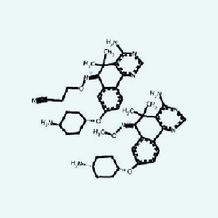 CC1(C)/C(=N/OCCC#N)c2cc(O[C@H]3CC[C@H](N)CC3)ccc2-c2ncnc(N)c21.CO/N=C1\c2cc(O[C@H]3CC[C@@H](N)CC3)ccc2-c2ncnc(N)c2C1(C)C